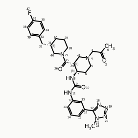 CC(=O)CN1CC[C@@H](NC(=O)Nc2cccc(-c3nnnn3C)c2)[C@H](C(=O)N2CCC[C@@H](Cc3ccc(F)cc3)C2)C1